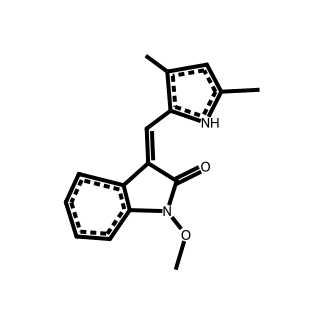 CON1C(=O)C(=Cc2[nH]c(C)cc2C)c2ccccc21